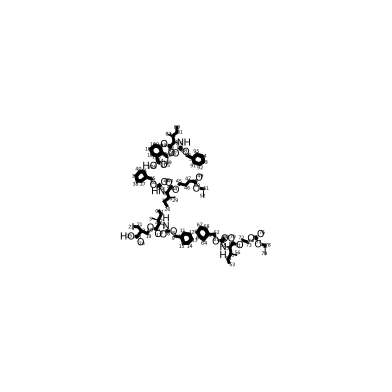 CC[C@H](C)[C@H](NC(=O)OCc1ccccc1)C(=O)OCC(CI)C(=O)O.CC[C@H](C)[C@H](NC(=O)OCc1ccccc1)C(=O)OCCCC(=O)OCI.CC[C@H](C)[C@H](NC(=O)OCc1ccccc1)C(=O)OCCOC(=O)OCI.CC[C@H](C)[C@H](NC(=O)OCc1ccccc1)C(=O)Oc1cccc(C(=O)O)c1CI